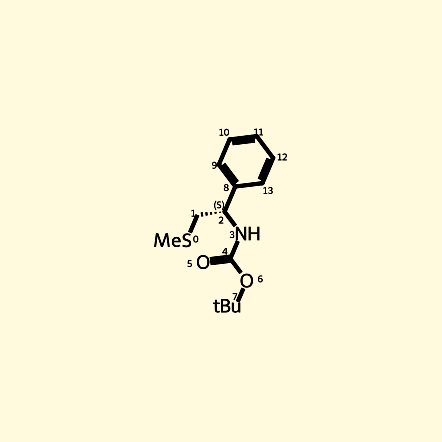 CSC[C@@H](NC(=O)OC(C)(C)C)c1ccccc1